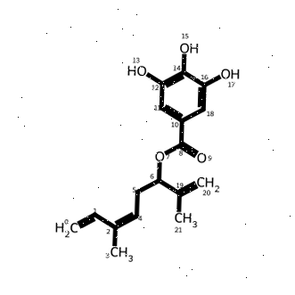 C=CC(C)=CCC(OC(=O)c1cc(O)c(O)c(O)c1)C(=C)C